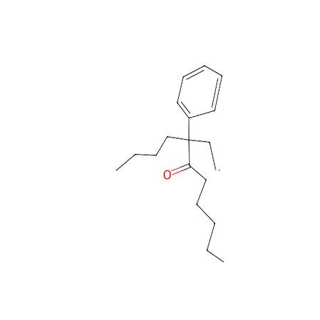 [CH2]CC(CCCC)(C(=O)CCCCC)c1ccccc1